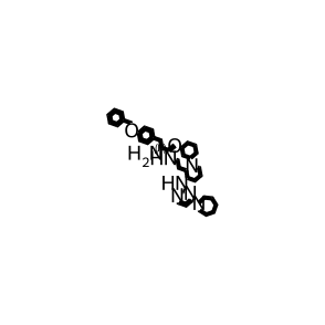 N[C@H](Cc1ccc(OCc2ccccc2)cc1)C(=O)NCCC1C(Nc2nccc(N3CCCCCC3)n2)CCCN1C1CCCCC1